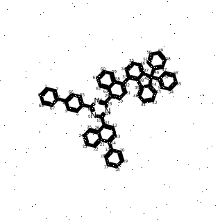 c1ccc(-c2ccc(-c3nc(-c4ccc(-c5ccccc5)c5ccccc45)nc(-c4ccc(-c5cccc6c5-c5ccccc5C6(c5ccccc5)c5ccccc5)c5ccccc45)n3)cc2)cc1